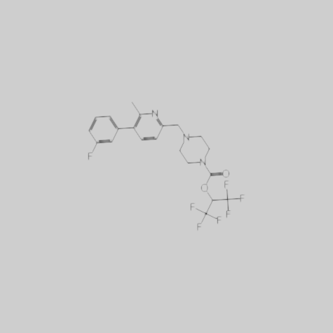 Cc1nc(CN2CCN(C(=O)OC(C(F)(F)F)C(F)(F)F)CC2)ccc1-c1cccc(F)c1